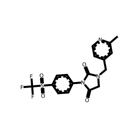 Cc1cc(CN2CC(=O)N(c3ccc(S(=O)(=O)C(F)(F)F)cc3)C2=O)ccn1